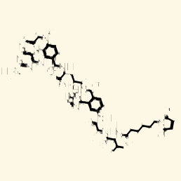 CC(C)[C@H](NC(=O)CCCCCN1C(=O)C=CC1=O)C(=O)N[C@@H](C)C(=O)Nc1ccc(C(=O)NCCC[C@H](NC(=O)c2ccc(N(C)Cc3cnc4nc(N)nc(N)c4n3)cc2)C(=O)O)c(-c2nn[nH]n2)c1